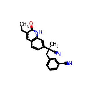 CCc1cc2ccc([C@@](C)(C#N)Cc3cccc(C#N)c3)cc2[nH]c1=O